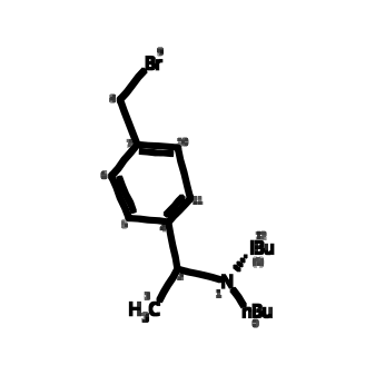 CCCCN(C(C)c1ccc(CBr)cc1)[C@@H](C)CC